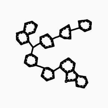 c1ccc(-c2ccc(-c3ccc(C(c4cccc(-c5cccc(-c6cccc7c6oc6ccccc67)c5)c4)c4cccc5ccccc45)cc3)cc2)cc1